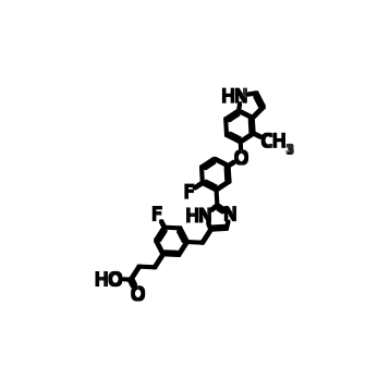 Cc1c(Oc2ccc(F)c(-c3ncc(Cc4cc(F)cc(CCC(=O)O)c4)[nH]3)c2)ccc2[nH]ccc12